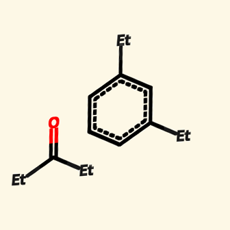 CCC(=O)CC.CCc1cccc(CC)c1